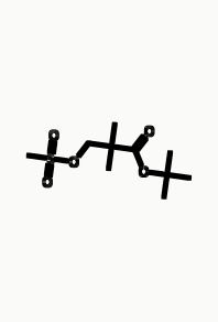 CC(C)(C)OC(=O)C(C)(C)COS(C)(=O)=O